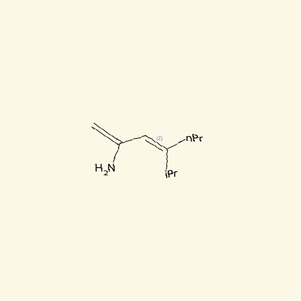 C=C(N)/C=C(/CCC)C(C)C